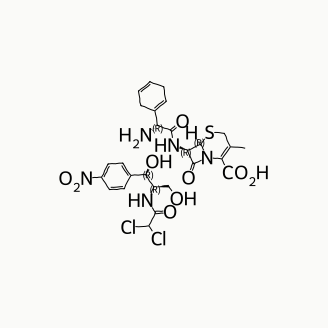 CC1=C(C(=O)O)N2C(=O)[C@@H](NC(=O)[C@H](N)C3=CCC=CC3)[C@H]2SC1.O=C(N[C@H](CO)[C@H](O)c1ccc([N+](=O)[O-])cc1)C(Cl)Cl